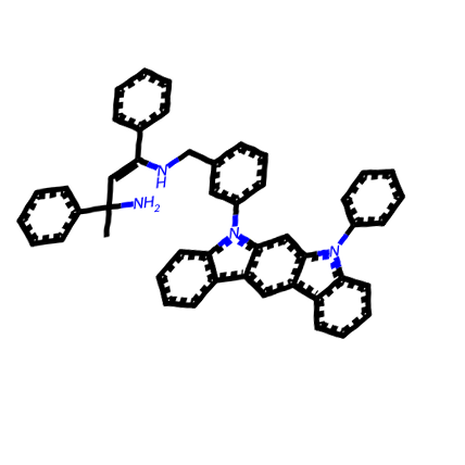 CC(N)(/C=C(\NCc1cccc(-n2c3ccccc3c3cc4c5ccccc5n(-c5ccccc5)c4cc32)c1)c1ccccc1)c1ccccc1